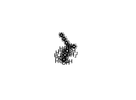 Bc1c(B)c(-c2c(B)c(B)c3c(oc4c(O)c(O)c(O)c(O)c43)c2O)c(O)c(O)c1-c1nc(-c2ccccc2)nc(-c2ccc(-c3ccc(-c4ccccc4)cc3)cc2)n1